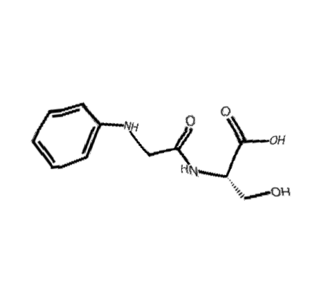 O=C(CNc1ccccc1)N[C@@H](CO)C(=O)O